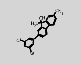 Cc1ccc2c(c1)C(C)(C)c1cc(-c3cc(Cl)cc(Br)c3)ccc1-2